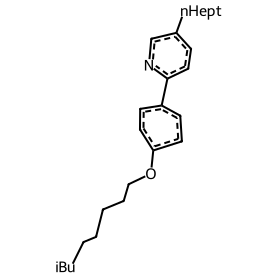 CCCCCCCc1ccc(-c2ccc(OCCCCCC(C)CC)cc2)nc1